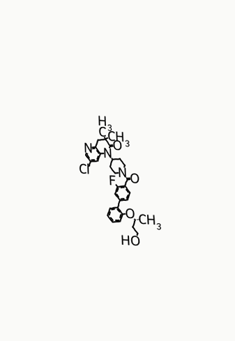 C[C@H](CCO)Oc1ccccc1-c1ccc(C(=O)N2CCC(N3C(=O)C(C)(C)Cc4ncc(Cl)cc43)CC2)c(F)c1